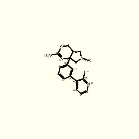 CC(=O)N1CC2CSC(N)=NC2(c2cccc(-c3cccnc3F)c2)C1